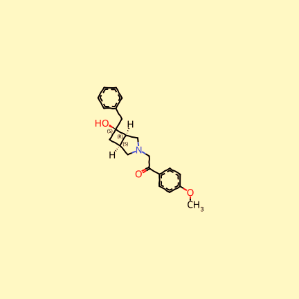 COc1ccc(C(=O)CN2C[C@H]3C[C@](O)(Cc4ccccc4)[C@H]3C2)cc1